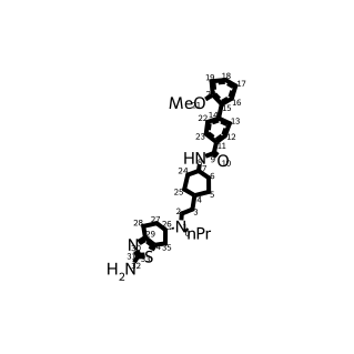 CCCN(CCC1CCC(NC(=O)c2ccc(-c3ccccc3OC)cc2)CC1)[C@H]1CCc2nc(N)sc2C1